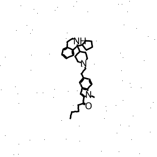 CCCCC(=O)c1cc2cc(CCN3CCC(C4(C5CCCC5)NCCc5ccccc54)CC3)ccc2n1C